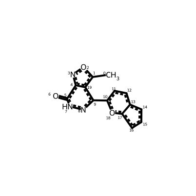 Cc1onc2c(=O)[nH]nc(-c3ccc4cccc-4o3)c12